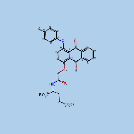 CCOC(=O)CCC(NC(=O)COc1ccc(Nc2ccc(C)cc2)c2c1C(=O)c1ccccc1C2=O)C(=O)OCC